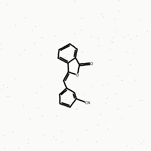 N#Cc1cccc(/C=C2\OC(=O)c3ccccc32)c1